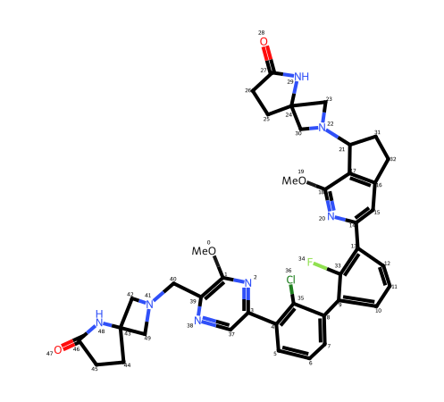 COc1nc(-c2cccc(-c3cccc(-c4cc5c(c(OC)n4)C(N4CC6(CCC(=O)N6)C4)CC5)c3F)c2Cl)cnc1CN1CC2(CCC(=O)N2)C1